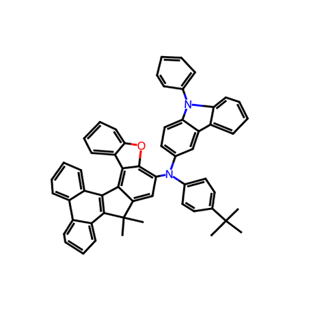 CC(C)(C)c1ccc(N(c2ccc3c(c2)c2ccccc2n3-c2ccccc2)c2cc3c(c4c2oc2ccccc24)-c2c(c4ccccc4c4ccccc24)C3(C)C)cc1